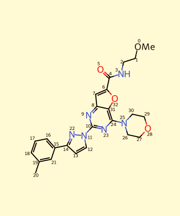 COCCNC(=O)c1cc2nc(-n3ccc(-c4cccc(C)c4)n3)nc(N3CCOCC3)c2o1